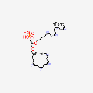 CCCCC/C=C\C/C=C\C/C=C\C/C=C\CCCCOC[C@H](COP(=O)(O)O)OCCCC/C=C\C/C=C\C/C=C\C/C=C\CCCCC